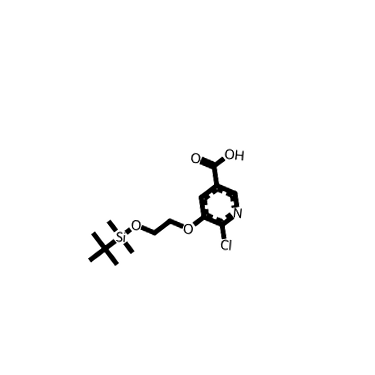 CC(C)(C)[Si](C)(C)OCCOc1cc(C(=O)O)cnc1Cl